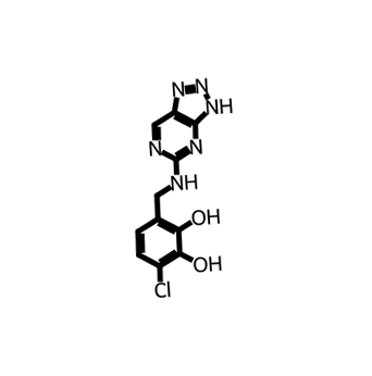 Oc1c(Cl)ccc(CNc2ncc3nn[nH]c3n2)c1O